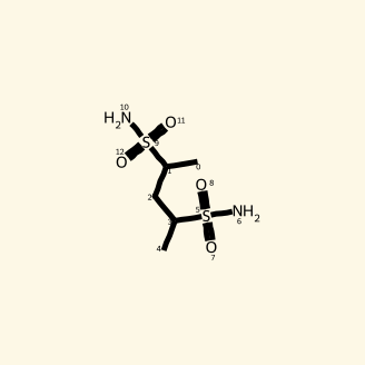 CC(CC(C)S(N)(=O)=O)S(N)(=O)=O